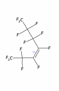 F/C(=C(\F)C(F)(F)C(F)(F)C(F)(F)F)C(F)(F)C(F)(F)F